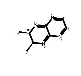 C[C@@H]1N=c2nccnc2=N[C@@H]1C